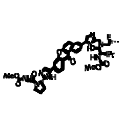 COC(=O)NCC(=O)N1CCC[C@H]1c1ncc(-c2ccc3c(=O)c4c(ccc5cc(-c6cnc(CN(C[C@@H](C)F)C(=O)C(NC(=O)OC)C(C)C)[nH]6)ccc54)oc3c2)[nH]1